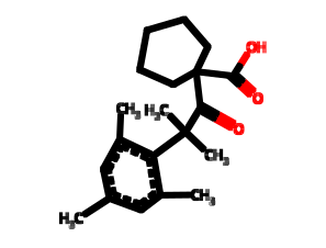 Cc1cc(C)c(C(C)(C)C(=O)C2(C(=O)O)CCCCC2)c(C)c1